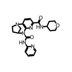 O=C(NC1CCOCC1)c1ccc2c(n1)N(C(=O)Nc1ccccn1)C1CCN2C1